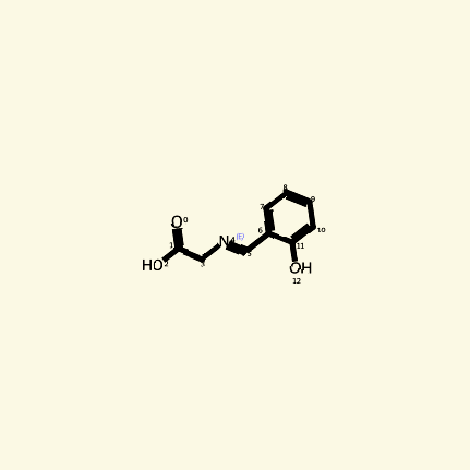 O=C(O)C/N=C/c1ccccc1O